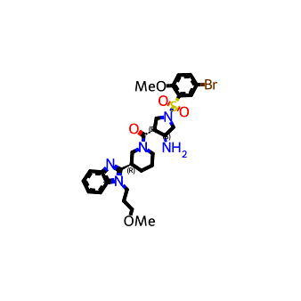 COCCCn1c([C@@H]2CCCN(C(=O)[C@@H]3CN(S(=O)(=O)c4cc(Br)ccc4OC)C[C@H]3N)C2)nc2ccccc21